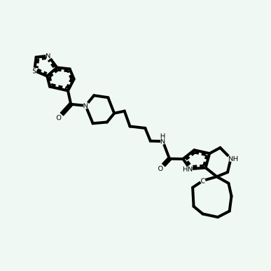 O=C(NCCCCC1CCN(C(=O)c2ccc3ncsc3c2)CC1)c1cc2c([nH]1)C1(CCCCCCCC1)CNC2